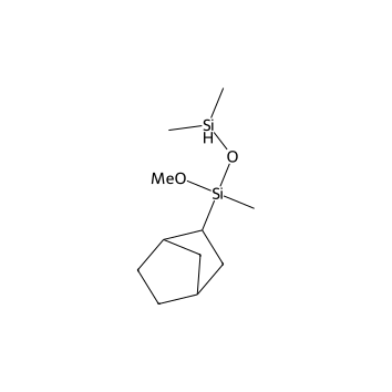 CO[Si](C)(O[SiH](C)C)C1CC2CCC1C2